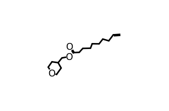 C=CCCCCCCCC(=O)OCC1CCOCC1